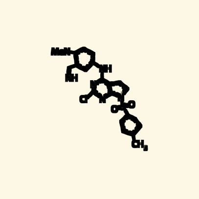 CNc1ccc(Nc2nc(Cl)nc3c2ccn3S(=O)(=O)c2ccc(C)cc2)cc1C=N